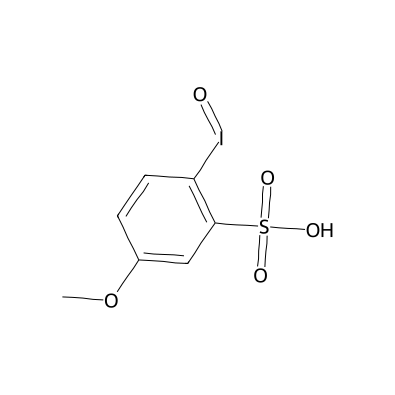 COc1ccc(I=O)c(S(=O)(=O)O)c1